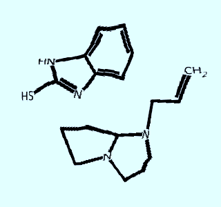 C=CCN1CCCN2CCCC12.Sc1nc2ccccc2[nH]1